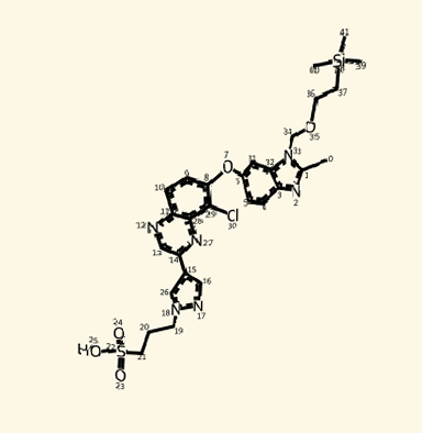 Cc1nc2ccc(Oc3ccc4ncc(-c5cnn(CCCS(=O)(=O)O)c5)nc4c3Cl)cc2n1COCC[Si](C)(C)C